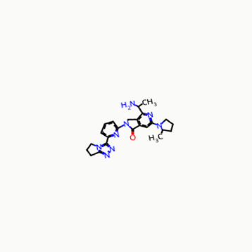 CC(N)c1nc(N2CCCC2C)cc2c1CN(c1cccc(-c3nnc4n3CCC4)n1)C2=O